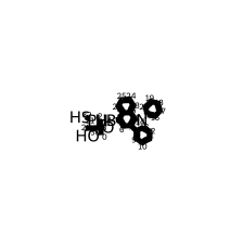 CC(C)(OBc1cc2c3ccccc3n(-c3ccccc3)c2c2ccccc12)C(C)(O)PS